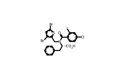 O=C(O)[C@H](Cc1ccccc1)N(Cc1sc(Br)cc1Br)C(=O)c1ccc(Cl)cc1I